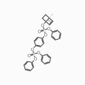 C[C@]12C=CC1(OP(=O)(Oc1ccccc1)Oc1ccc(OP(=O)(Oc3ccccc3)Oc3ccccc3)cc1)CC2